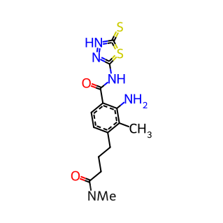 CNC(=O)CCCc1ccc(C(=O)Nc2n[nH]c(=S)s2)c(N)c1C